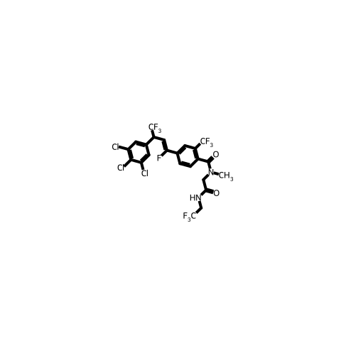 CN(CC(=O)NCC(F)(F)F)C(=O)c1ccc(C(F)=CC(c2cc(Cl)c(Cl)c(Cl)c2)C(F)(F)F)cc1C(F)(F)F